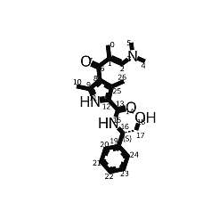 CC(=CN(C)C)C(=O)c1c(C)[nH]c(C(=O)N[C@H](CO)c2ccccc2)c1C